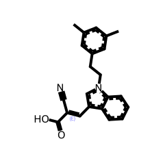 Cc1cc(C)cc(CCn2cc(/C=C(\C#N)C(=O)O)c3ccccc32)c1